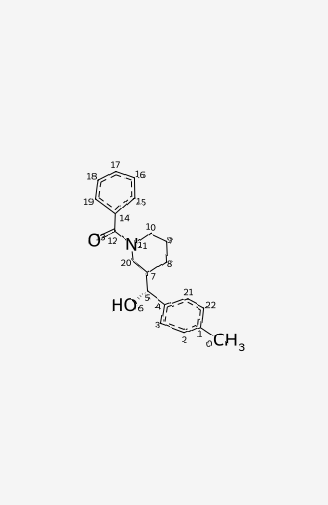 Cc1ccc([C@H](O)C2CCCN(C(=O)c3ccccc3)C2)cc1